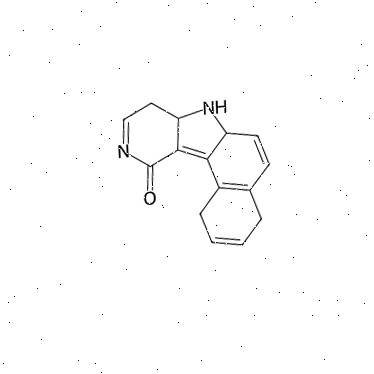 O=C1N=CCC2NC3C=CC4=C(CC=CC4)C3=C12